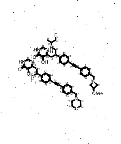 COC1CN(Cc2ccc(C#Cc3ccc(C(CNC(C)CF)Cc4nc[nH]c(=O)c4O)cc3)cc2)C1.NC(Cc1nc[nH]c(=O)c1O)c1ccc(C#Cc2ccc(CN3CCOCC3)cc2)cc1